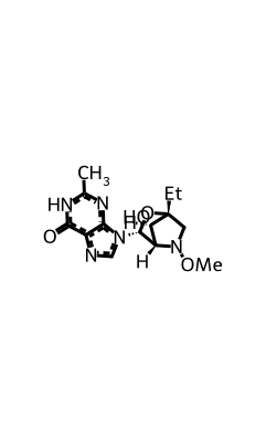 CC[C@]12CN(OC)[C@H]([C@H](n3cnc4c(=O)[nH]c(C)nc43)O1)[C@H]2O